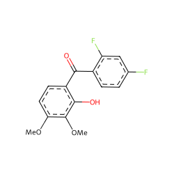 COc1ccc(C(=O)c2ccc(F)cc2F)c(O)c1OC